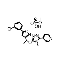 CC(Oc1nnc(-c2ccncc2)n1C)c1cc(-c2cccc(Cl)c2)on1.O=S(=O)(O)O